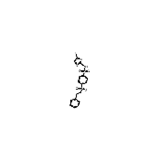 O=S(=O)(CCc1ccccc1)c1ccc(S(=O)(=O)Nc2ncc(F)s2)cc1